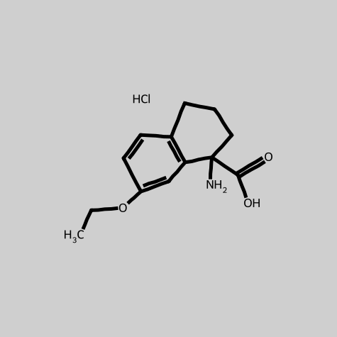 CCOc1ccc2c(c1)C(N)(C(=O)O)CCC2.Cl